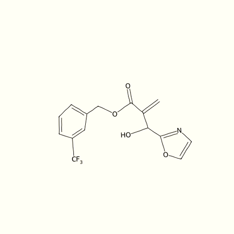 C=C(C(=O)OCc1cccc(C(F)(F)F)c1)C(O)c1ncco1